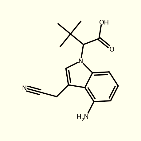 CC(C)(C)C(C(=O)O)n1cc(CC#N)c2c(N)cccc21